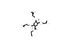 O=C(OCCC1CO1)C1CC(C(=O)OCCC2CO2)C(C(=O)OCCC2CO2)CC1C(=O)OCCC1CO1